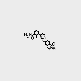 CCN(C(=O)c1ccc(Nc2nccc(-c3cccc(C(N)=O)c3C)n2)cc1)C(C)C